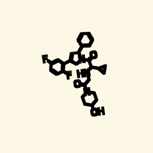 O=C(CNC(C(=O)N1CC(c2cc(F)ccc2F)=CC1c1ccccc1)C1CC1)N1CCC(O)CC1